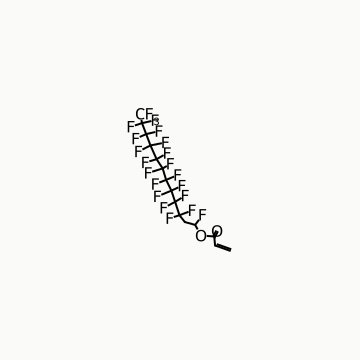 C=CC(=O)OC(F)CC(F)(F)C(F)(F)C(F)(F)C(F)(F)C(F)(F)C(F)(F)C(F)(F)C(F)(F)C(F)(F)C(F)(F)F